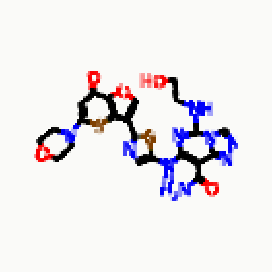 NC(=O)c1c(Nc2cnc(-c3coc4c(=O)cc(N5CCOCC5)sc34)s2)nc(NCCO)n2cnnc12